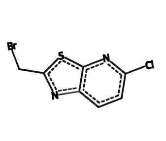 Clc1ccc2nc(CBr)sc2n1